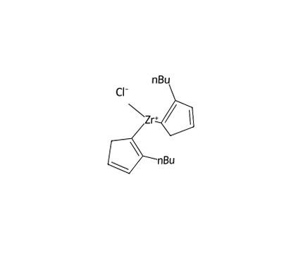 CCCCC1=[C]([Zr+]([CH3])[C]2=C(CCCC)C=CC2)CC=C1.[Cl-]